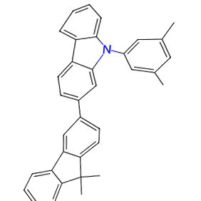 Cc1cc(C)cc(-n2c3ccccc3c3ccc(-c4ccc5c(c4)-c4ccccc4C5(C)C)cc32)c1